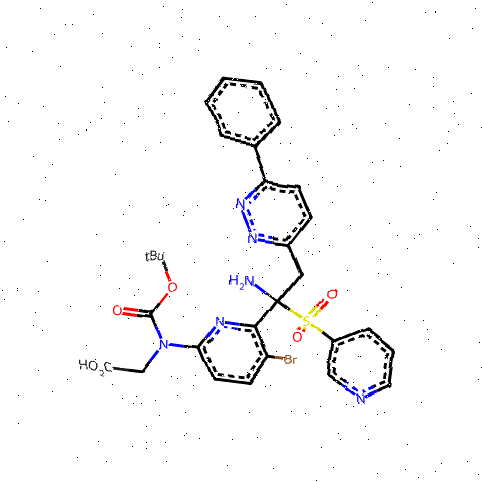 CC(C)(C)OC(=O)N(CC(=O)O)c1ccc(Br)c(C(N)(Cc2ccc(-c3ccccc3)nn2)S(=O)(=O)c2cccnc2)n1